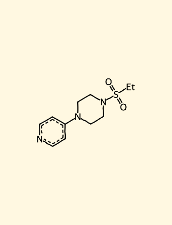 CCS(=O)(=O)N1CCN(c2ccncc2)CC1